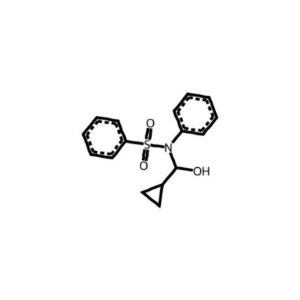 O=S(=O)(c1ccccc1)N(c1ccccc1)C(O)C1CC1